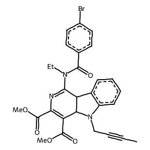 CC#CCN1c2ccccc2C2C(N(CC)C(=O)c3ccc(Br)cc3)=NC(C(=O)OC)=C(C(=O)OC)C21